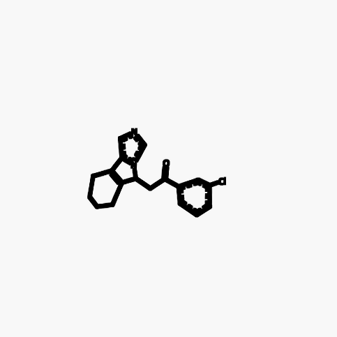 O=C(CC1C2=C(CCCC2)c2cncn21)c1cccc(Cl)c1